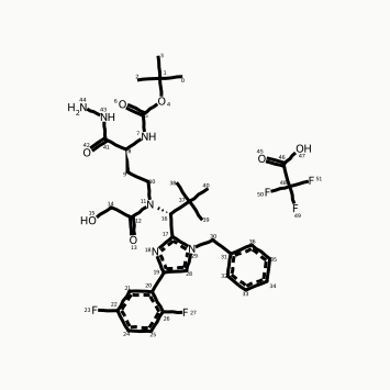 CC(C)(C)OC(=O)N[C@@H](CCN(C(=O)CO)[C@@H](c1nc(-c2cc(F)ccc2F)cn1Cc1ccccc1)C(C)(C)C)C(=O)NN.O=C(O)C(F)(F)F